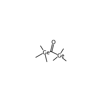 [CH3][Ge]([CH3])([CH3])[C](=O)[Ge]([CH3])([CH3])[CH3]